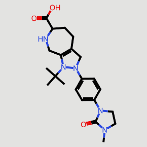 CN1CCN(c2ccc(N3CC4=C(CNC(C(=O)O)CC4)N3C(C)(C)C)cc2)C1=O